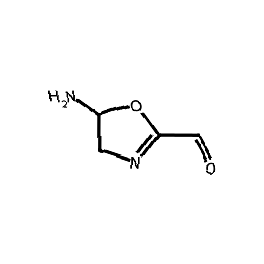 NC1CN=C(C=O)O1